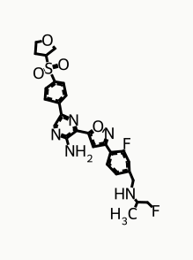 CC(CF)NCc1ccc(-c2cc(-c3nc(-c4ccc(S(=O)(=O)C5CCOC5)cc4)cnc3N)on2)c(F)c1